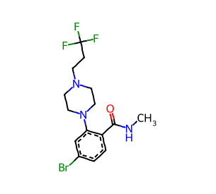 CNC(=O)c1ccc(Br)cc1N1CCN(CCC(F)(F)F)CC1